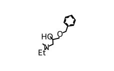 CCN(C)CC(O)COCc1ccccc1